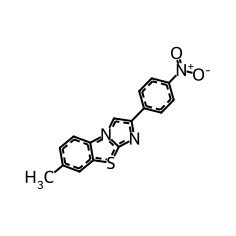 Cc1ccc2c(c1)sc1nc(-c3ccc([N+](=O)[O-])cc3)cn12